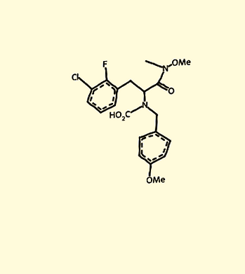 COc1ccc(CN(C(=O)O)C(Cc2cccc(Cl)c2F)C(=O)N(C)OC)cc1